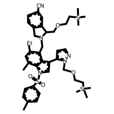 CCc1cc(C)c2c(c(-c3ccnn3COCC[Si](C)(C)C)cn2S(=O)(=O)c2ccc(C)cc2)c1CN1Cc2ccc(C#N)cc2C1COCC[Si](C)(C)C